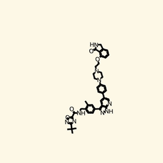 Cc1cc(-c2n[nH]c3ncc(-c4ccc(N5CCN(CCOc6cccc7c6C(=O)NC7)CC5)cc4)cc23)ccc1CNC(=O)c1nc(C(C)(C)C)no1